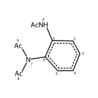 CC(=O)Nc1ccccc1N(C(C)=O)C(C)=O